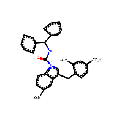 COc1cc(C(=O)O)ccc1Cc1cn(C(=O)NC(c2ccccc2)c2ccccc2)c2ccc([N+](=O)[O-])cc12